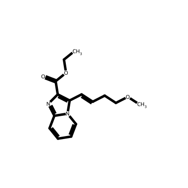 CCOC(=O)c1nc2ccccn2c1C=CCCOC